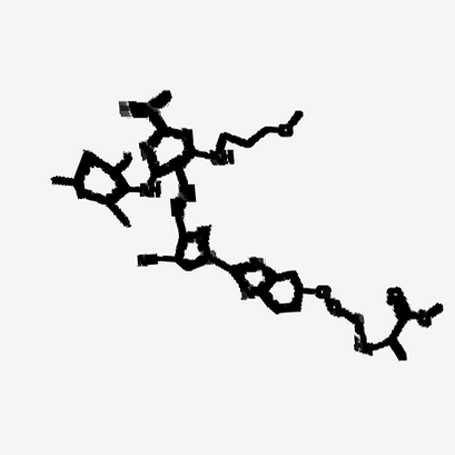 CNc1nc(NCCCOC)c(N=Nc2nn(-c3nc4ccc(OOSNC(C)C(=O)OC)cc4s3)cc2C#N)c(Nc2c(C)cc(C)cc2C)n1